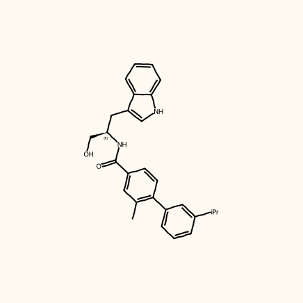 Cc1cc(C(=O)N[C@@H](CO)Cc2c[nH]c3ccccc23)ccc1-c1cccc(C(C)C)c1